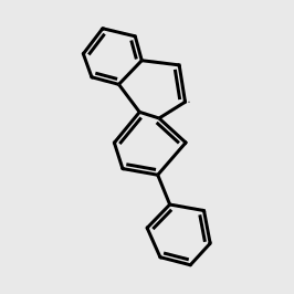 [c]1cc2ccccc2c2ccc(-c3ccccc3)cc12